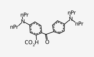 CCCN(CCC)c1ccc(C(=O)c2ccc(N(CCC)CCC)cc2C(=O)O)cc1